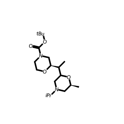 CC(C1CN(C(C)C)C[C@H](C)O1)[C@@H]1CN(C(=O)OC(C)(C)C)CCO1